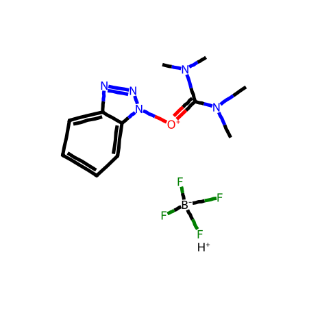 CN(C)C(=[O+]n1nnc2ccccc21)N(C)C.F[B-](F)(F)F.[H+]